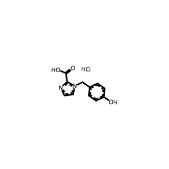 Cl.O=C(O)c1nccn1Cc1ccc(O)cc1